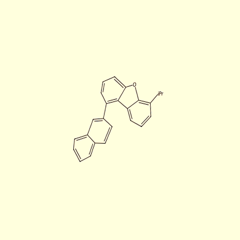 CC(C)c1cccc2c1oc1cccc(-c3ccc4ccccc4c3)c12